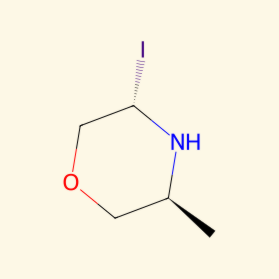 C[C@H]1COC[C@H](I)N1